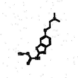 CN(C)CCOc1ccc2nc(NC(=O)OC(C)(C)C)sc2c1